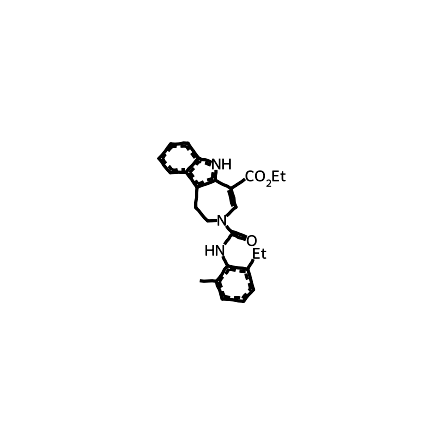 CCOC(=O)C1=CN(C(=O)Nc2c(C)cccc2CC)CCc2c1[nH]c1ccccc21